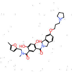 Cc1ccc(CN(C)C(=O)c2cc(C(=O)N3Cc4ccc(OCCCN5CCCC5)cc4C3)c(O)cc2O)o1